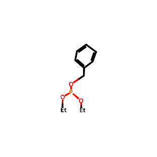 CCOP(OCC)OCc1ccccc1